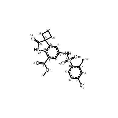 COC(=O)c1cc(NS(=O)(=O)c2ccc(Br)cc2F)cc2c1NC(=O)C21CCC1